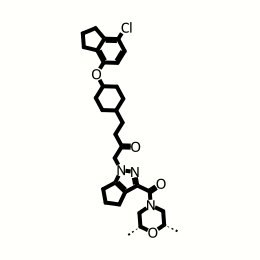 C[C@@H]1CN(C(=O)c2nn(CC(=O)CCC3CCC(Oc4ccc(Cl)c5c4CCC5)CC3)c3c2CCC3)C[C@H](C)O1